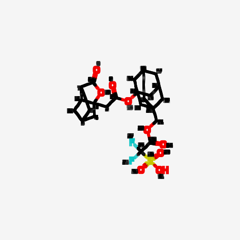 O=C(CC12CC3CC(C(=O)O1)C2C3)OC12CC3CC(CC(COC(=O)C(F)(F)S(=O)(=O)O)(C3)C1)C2